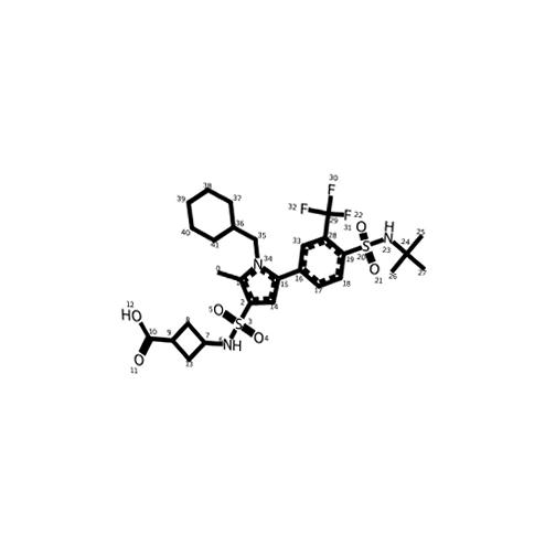 Cc1c(S(=O)(=O)NC2CC(C(=O)O)C2)cc(-c2ccc(S(=O)(=O)NC(C)(C)C)c(C(F)(F)F)c2)n1CC1CCCCC1